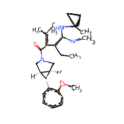 C=N/C(NC1(C)CC1)=C(\CC)C(C(=O)N1C[C@@H]2[C@H](C1)[C@H]2c1ccccc1OC)=C(C)C